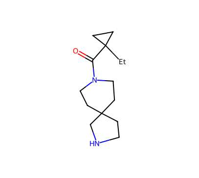 CCC1(C(=O)N2CCC3(CCNC3)CC2)CC1